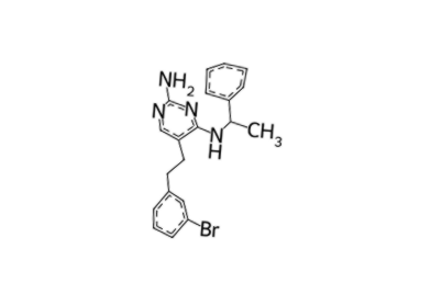 CC(Nc1nc(N)ncc1CCc1cccc(Br)c1)c1ccccc1